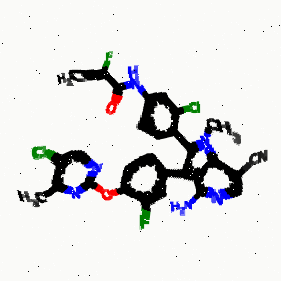 C=C(F)C(=O)Nc1ccc(-c2c(-c3ccc(Oc4ncc(Cl)c(C)n4)c(F)c3)c3c(N)ncc(C#N)c3n2C)c(Cl)c1